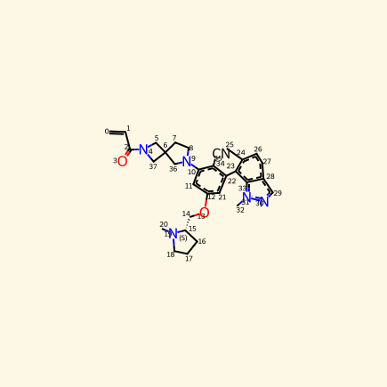 C=CC(=O)N1CC2(CCN(c3cc(OC[C@@H]4CCCN4C)cc(-c4c(C)ccc5cnn(C)c45)c3C#N)C2)C1